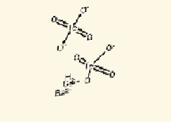 O=[Te](=O)([O-])[O-].O=[Te](=O)([O-])[O-].[Ba+2].[GeH2+2]